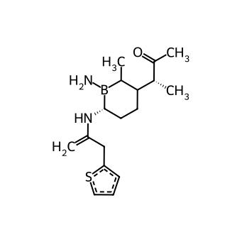 C=C(Cc1cccs1)N[C@H]1CCC([C@@H](C)C(C)=O)C(C)B1N